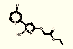 CCOC(=O)COc1cc(-c2cc(Cl)ccn2)n(O)n1